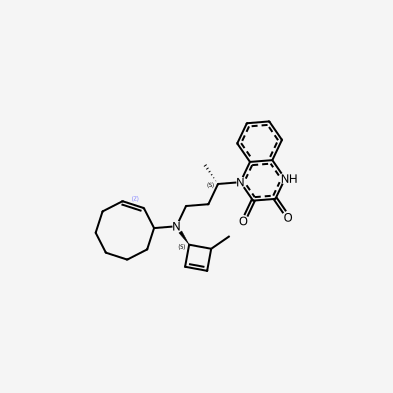 CC1C=C[C@H]1N(CC[C@H](C)n1c(=O)c(=O)[nH]c2ccccc21)C1/C=C\CCCCC1